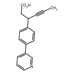 CC#CC(CC(=O)O)c1ccc(-c2cccnc2)cc1